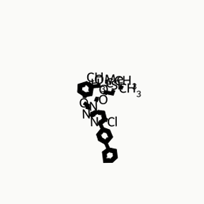 COC(=O)c1cc(Oc2nc3nc(-c4ccc(-c5ccccc5)cc4)c(Cl)cc3n2COCC[Si](C)(C)C)ccc1C